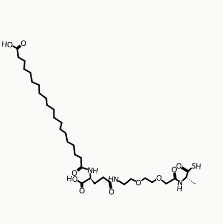 C[C@H](NC(=O)COCCOCCNC(=O)CC[C@H](NC(=O)CCCCCCCCCCCCCCCCCCC(=O)O)C(=O)O)C(=O)S